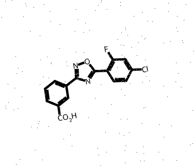 O=C(O)c1cccc(-c2noc(-c3ccc(Cl)cc3F)n2)c1